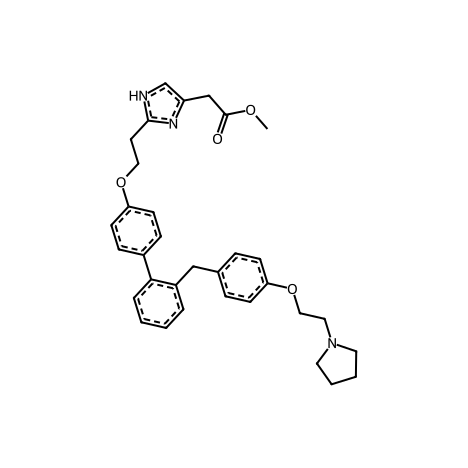 COC(=O)Cc1c[nH]c(CCOc2ccc(-c3ccccc3Cc3ccc(OCCN4CCCC4)cc3)cc2)n1